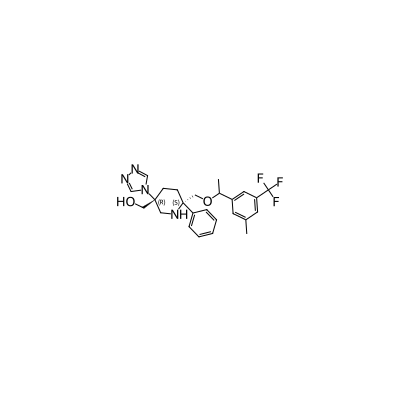 Cc1cc(C(C)OC[C@@]2(c3ccccc3)CC[C@@](CO)(n3cnnc3)CN2)cc(C(F)(F)F)c1